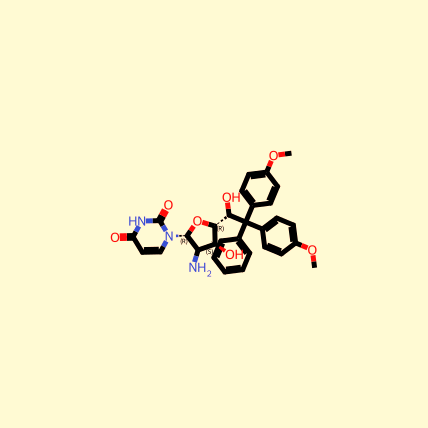 COc1ccc(C(c2ccccc2)(c2ccc(OC)cc2)C(O)[C@H]2O[C@@H](n3ccc(=O)[nH]c3=O)C(N)[C@@H]2O)cc1